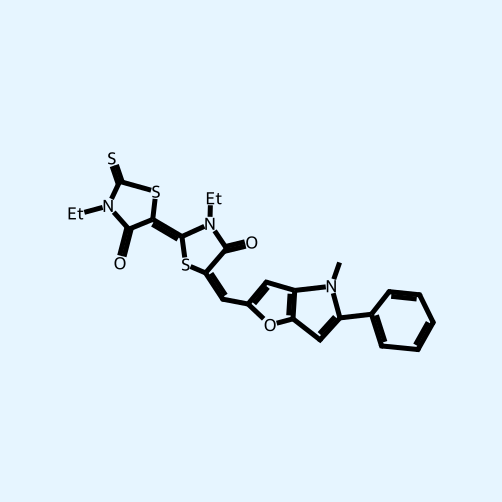 CCN1C(=O)/C(=c2\s/c(=C/c3cc4c(cc(-c5ccccc5)n4C)o3)c(=O)n2CC)SC1=S